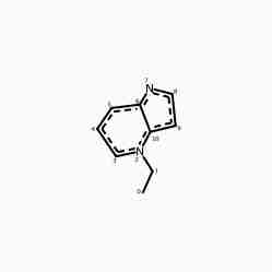 CCn1cccc2nccc1-2